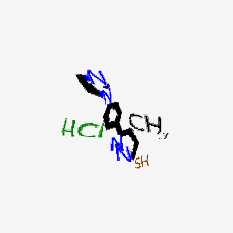 CC1CC(S)=NN=C1c1ccc(-n2ccnc2)cc1.Cl